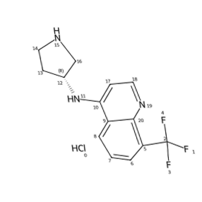 Cl.FC(F)(F)c1cccc2c(N[C@@H]3CCNC3)ccnc12